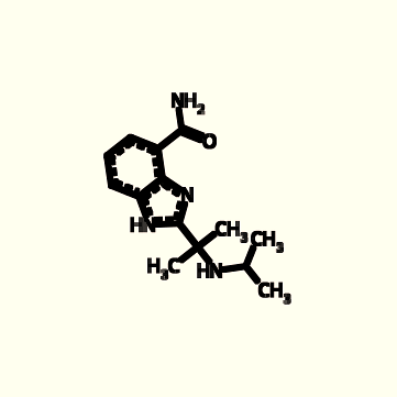 CC(C)NC(C)(C)c1nc2c(C(N)=O)cccc2[nH]1